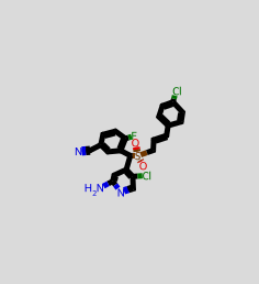 N#Cc1ccc(F)c(C(c2cc(N)ncc2Cl)S(=O)(=O)CC=Cc2ccc(Cl)cc2)c1